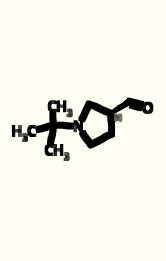 CC(C)(C)N1CC[C@H](C=O)C1